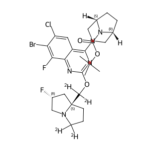 [2H]C1([2H])CC[C@@]2(C([2H])([2H])Oc3nc(N4C[C@H]5CC[C@@H](C4)N5C(=O)OC(C)(C)C)c4cc(Cl)c(Br)c(F)c4n3)C[C@@H](F)CN12